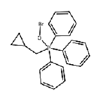 BrOP(CC1CC1)(c1ccccc1)(c1ccccc1)c1ccccc1